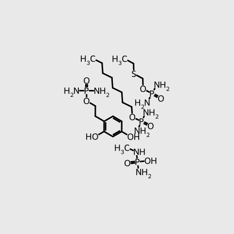 CCCCCCCCOP(N)(N)=O.CCSCOP(N)(N)=O.CNP(N)(=O)O.NP(N)(=O)OCCc1ccc(O)cc1O